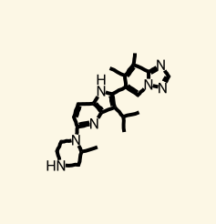 Cc1c(-c2[nH]c3ccc(N4CCNCC4C)nc3c2C(C)C)cn2ncnc2c1C